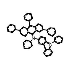 c1ccc(-c2ccc3c(N(c4ccccc4)c4ccc5c(c4)c4ccccc4n5-c4ccccc4)c4cc(-c5ccccc5)ccc4c(-c4ccccc4)c3c2)cc1